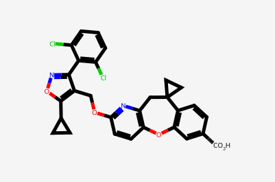 O=C(O)c1ccc2c(c1)Oc1ccc(OCc3c(-c4c(Cl)cccc4Cl)noc3C3CC3)nc1CC21CC1